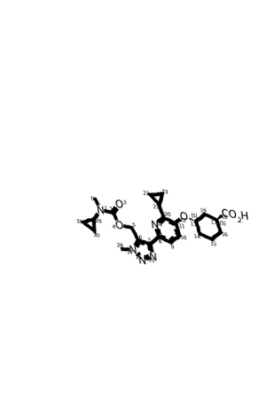 CN(C(=O)OCc1c(-c2ccc(O[C@H]3CCC[C@H](C(=O)O)C3)c(C3CC3)n2)nnn1C)C1CC1